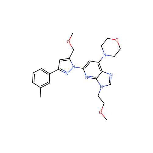 COCCn1cnc2c(N3CCOCC3)cc(-n3nc(-c4cccc(C)c4)cc3COC)nc21